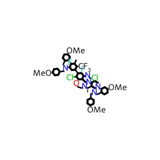 COc1ccc(CN(Cc2ccc(OC)cc2)c2cc(-c3c(Cl)c4c5c(nc(Cl)nc5c3F)N([C@H](C)c3cccnc3N(Cc3ccc(OC)cc3)Cc3ccc(OC)cc3)CCO4)c(C(F)(F)F)c(C)c2F)cc1